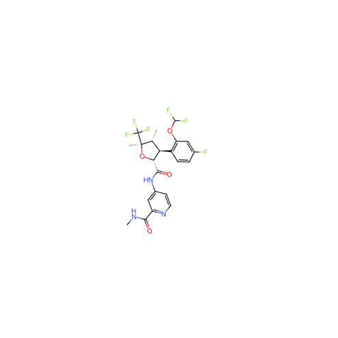 CNC(=O)c1cc(NC(=O)[C@@H]2O[C@@](C)(C(F)(F)F)[C@H](C)[C@H]2c2ccc(F)cc2OC(F)F)ccn1